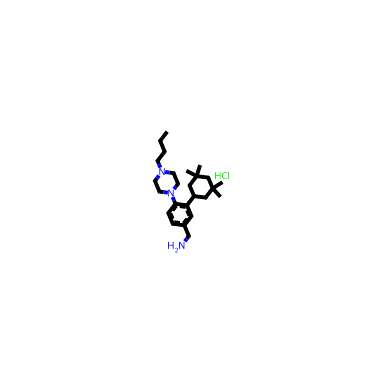 CCCCN1CCN(c2ccc(CN)cc2C2CC(C)(C)CC(C)(C)C2)CC1.Cl